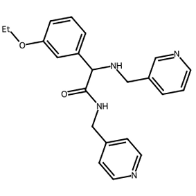 CCOc1cccc(C(NCc2cccnc2)C(=O)NCc2ccncc2)c1